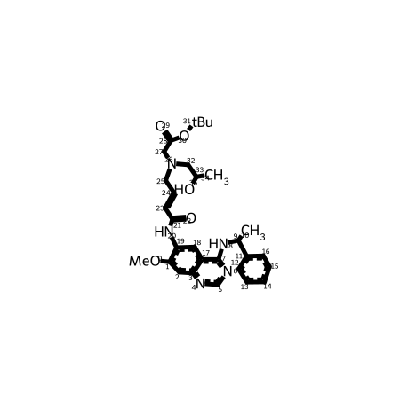 COc1cc2ncnc(NC(C)c3ccccc3)c2cc1NC(=O)C=CCN(CC(=O)OC(C)(C)C)CC(C)O